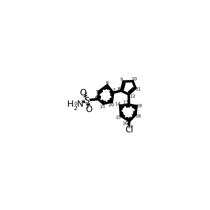 NS(=O)(=O)c1ccc(C2=CCC=C2c2ccc(Cl)cc2)cc1